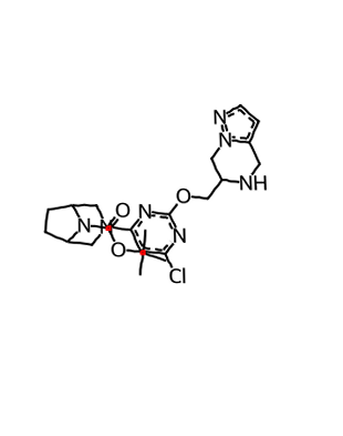 CC(C)(C)OC(=O)N1C2CCC1CN(c1cc(Cl)nc(OCC3Cn4nccc4CN3)n1)C2